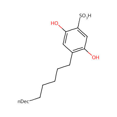 CCCCCCCCCCCCCCCc1cc(O)c(S(=O)(=O)O)cc1O